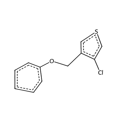 Clc1cscc1COc1ccccc1